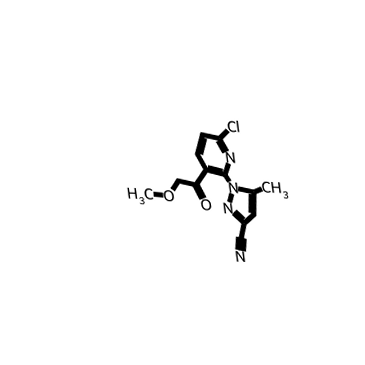 COCC(=O)c1ccc(Cl)nc1-n1nc(C#N)cc1C